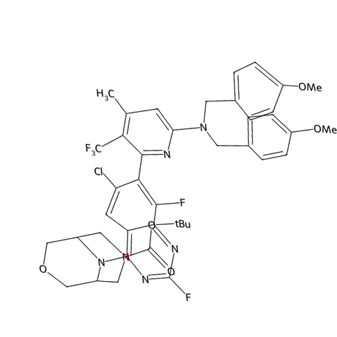 COc1ccc(CN(Cc2ccc(OC)cc2)c2cc(C)c(C(F)(F)F)c(-c3c(Cl)cc4c(N5C6COCC5CN(C(=O)OC(C)(C)C)C6)nc(F)nc4c3F)n2)cc1